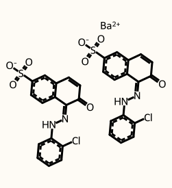 O=C1C=Cc2cc(S(=O)(=O)[O-])ccc2/C1=N\Nc1ccccc1Cl.O=C1C=Cc2cc(S(=O)(=O)[O-])ccc2/C1=N\Nc1ccccc1Cl.[Ba+2]